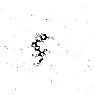 COCCn1nc(C)c(-c2cn3ncc(C(=O)Nc4cc(N)cnc4C)c3s2)c1C